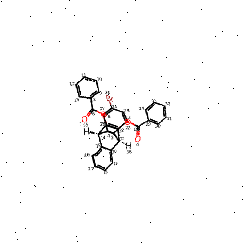 O=C(OC1C(OC(=O)c2ccccc2)[C@@H]2c3ccccc3[C@@H]1c1ccc(Br)cc12)c1ccccc1